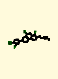 CCCc1ccc2c(cc(F)c3cc(-c4ccc(Cl)c(F)c4)ccc32)c1F